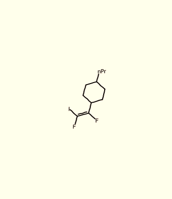 CCCC1CCC(C(F)=C(F)I)CC1